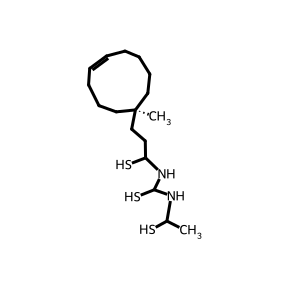 CC(S)NC(S)NC(S)CC[C@@]1(C)CCC/C=C\CCCC1